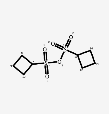 O=S(=O)(OS(=O)(=O)C1CCC1)C1CCC1